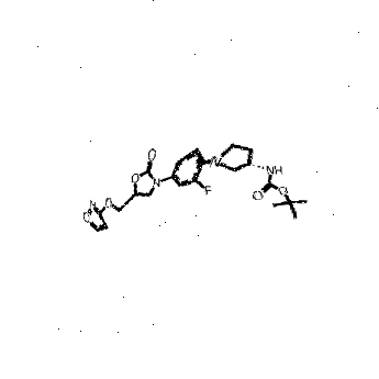 CC(C)(C)OC(=O)N[C@H]1CCN(c2ccc(N3CC(COc4ccon4)OC3=O)cc2F)C1